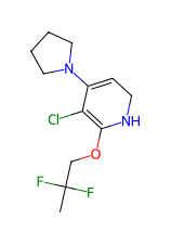 CC(F)(F)COC1=C(Cl)C(N2CCCC2)=CCN1